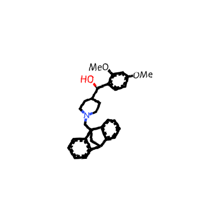 COc1ccc([C@H](O)C2CCN(CC34CC(c5ccccc53)c3ccccc34)CC2)c(OC)c1